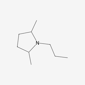 CCCN1C(C)CCC1C